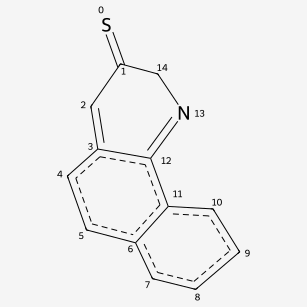 S=C1C=c2ccc3ccccc3c2=NC1